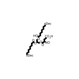 CCCCCCCCCCCCCCCCCC(=O)OC(COC(=O)C(CCC(=O)O)N=O)COC(O)CCCCCCCCCCCCCCCCC